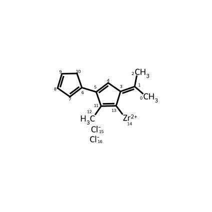 CC(C)=C1C=C(C2=CC=CC2)C(C)=[C]1[Zr+2].[Cl-].[Cl-]